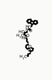 C=CCC[C@@H]1CCC[C@]2(CCC[C@@H](CCCNC(=O)[C@@H](C)[C@@H](O)CNC(=O)OCC3c4ccccc4-c4ccccc43)O2)O1